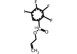 C=CCO[14C](=O)c1cc(I)c(F)c(F)c1F